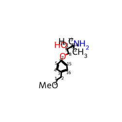 COCCc1ccc(OCC(O)C(C)(C)N)cc1